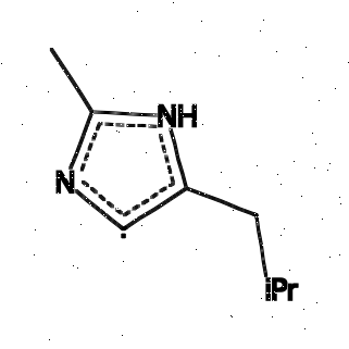 Cc1n[c]c(CC(C)C)[nH]1